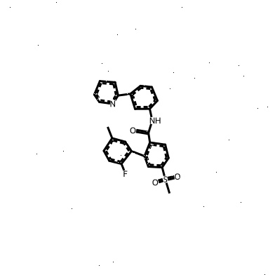 Cc1ccc(F)c(-c2cc(S(C)(=O)=O)ccc2C(=O)Nc2cccc(-c3ccccn3)c2)c1